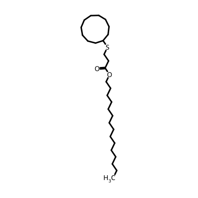 CCCCCCCCCCCCCCCOC(=O)CCSC1CCCCCCCCCC1